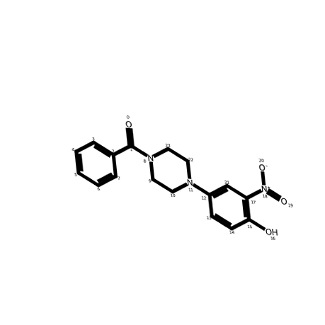 O=C(c1ccccc1)N1CCN(c2ccc(O)c([N+](=O)[O-])c2)CC1